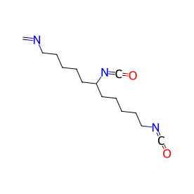 C=NCCCCCC(CCCCCN=C=O)N=C=O